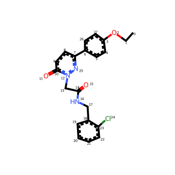 CCOc1ccc(-c2ccc(=O)n(CC(=O)NCc3ccccc3Cl)n2)cc1